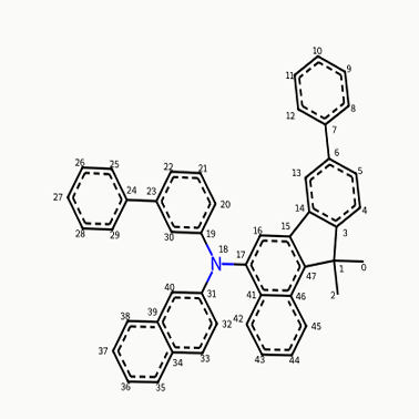 CC1(C)c2ccc(-c3ccccc3)cc2-c2cc(N(c3cccc(-c4ccccc4)c3)c3ccc4ccccc4c3)c3ccccc3c21